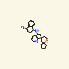 CCC1=CC[C@H](NCC[C@@]2(c3ccccn3)CCOC3(CCCC3)C2)c2ccccc21